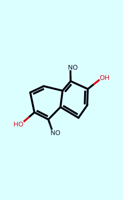 O=Nc1c(O)ccc2c(N=O)c(O)ccc12